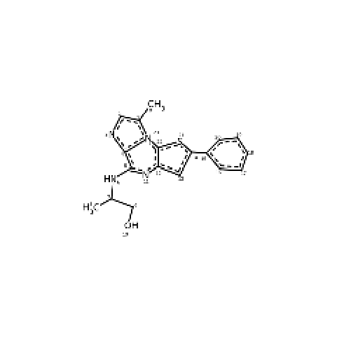 Cc1cnc2c(NC(C)CO)nc3cc(-c4ccccc4)sc3n12